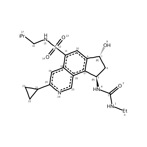 CCNC(=O)N[C@@H]1C[C@@H](O)c2cc(S(=O)(=O)NCC(C)C)c3cc(C4CC4)ncc3c21